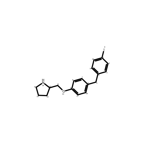 Ic1ccc(Cc2ccc(OCC3CCCN3)cc2)cc1